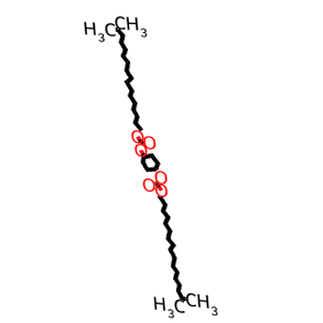 CC(C)CCCCCCCCCCCCCCCOC(=O)OC1CCC(OC(=O)OCCCCCCCCCCCCCCCC(C)C)CC1